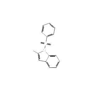 O=S(=O)(c1ccccc1)n1c(F)cc2ccccc21